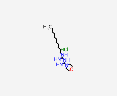 CCCCCCCCCCCNC(=N)NC(=N)N1CCOCC1.Cl